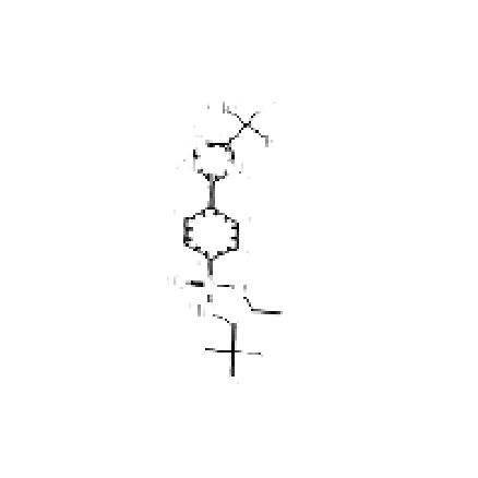 CCOP(=O)(NCC(C)(C)C)c1ccc(-c2noc(C(F)(F)Cl)n2)cc1